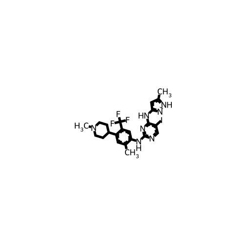 Cc1cc(Nc2nc(Nc3cc(C(F)(F)F)c(C4CCN(C)CC4)cc3C)ncc2I)n[nH]1